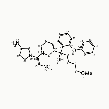 COCCCC[C@@](O)(c1ccccc1Oc1ccccc1)[C@@H]1CCCN(/C(=C\[N+](=O)[O-])N2CCC(N)C2)C1